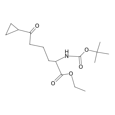 CCOC(=O)C(CCCC(=O)C1CC1)NC(=O)OC(C)(C)C